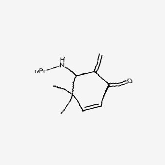 C=C1C(=O)C=CC(C)(C)C1NCCC